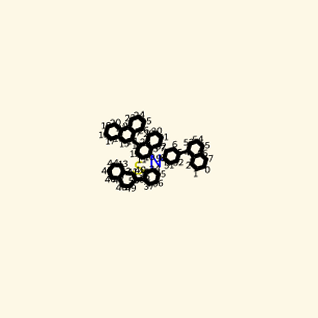 c1ccc2c(-c3ccc(N(c4ccc(-c5cc6ccccc6c6ccccc56)c5ccccc45)c4cccc5c4sc4c6ccccc6ccc54)cc3)cccc2c1